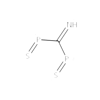 N=C(P=S)P=S